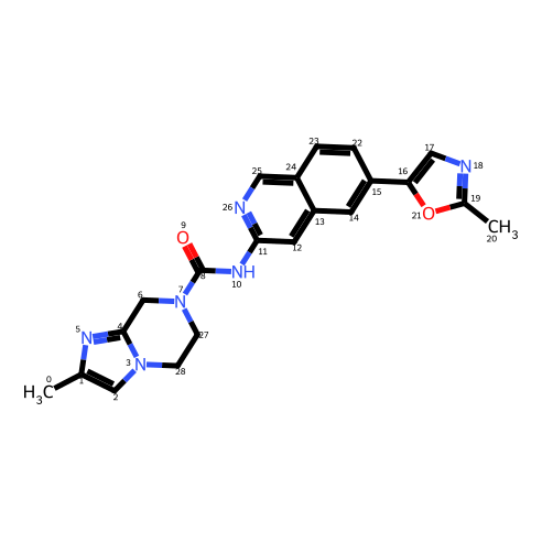 Cc1cn2c(n1)CN(C(=O)Nc1cc3cc(-c4cnc(C)o4)ccc3cn1)CC2